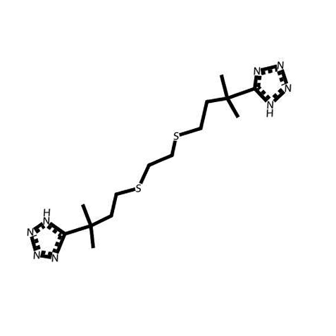 CC(C)(CCSCCSCCC(C)(C)c1nnn[nH]1)c1nnn[nH]1